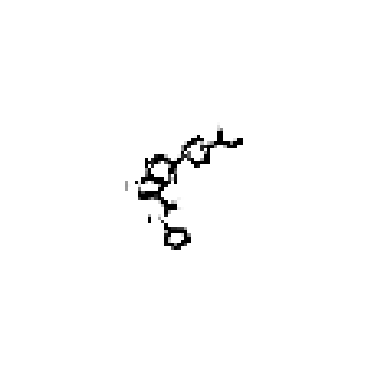 C=CC(=O)N1CCN(c2cnc3[nH]cc(C(=O)NC4CCCC4)c3n2)CC1